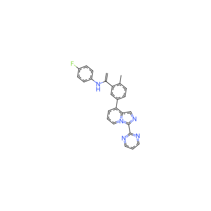 C=C(Nc1ccc(F)cc1)c1cc(-c2cccn3c(-c4ncccn4)ncc23)ccc1C